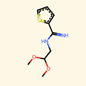 COC(CNC(=N)c1cccs1)OC